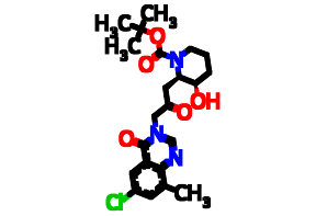 Cc1cc(Cl)cc2c(=O)n(CC(=O)C[C@@H]3[C@@H](O)CCCN3C(=O)OC(C)(C)C)cnc12